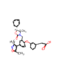 Cc1noc(C)c1-c1ccc(Oc2cccc(CC(=O)O)c2)c(CN2C(=O)O[C@H](c3ccccc3)[C@@H]2C)c1